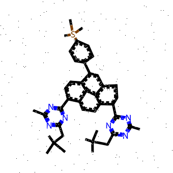 Cc1nc(CC(C)(C)C)nc(-c2ccc3cc(-c4ccc(S(C)(C)C)cc4)c4ccc(-c5nc(C)nc(CC(C)(C)C)n5)c5ccc2c3c45)n1